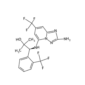 CC(C)(O)[C@@H](Nc1cc(C(F)(F)F)cc2nc(N)nn12)c1ccccc1C(F)(F)F